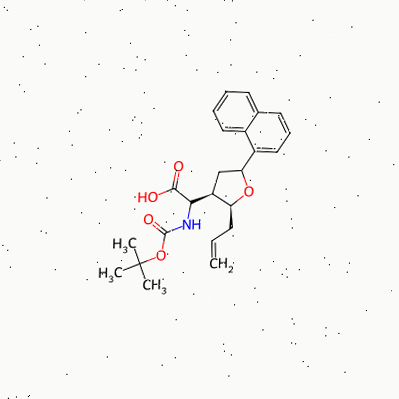 C=CC[C@@H]1OC(c2cccc3ccccc23)C[C@@H]1C(NC(=O)OC(C)(C)C)C(=O)O